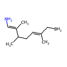 BC/C(C)=C/CC(C)/C(C)=C/N